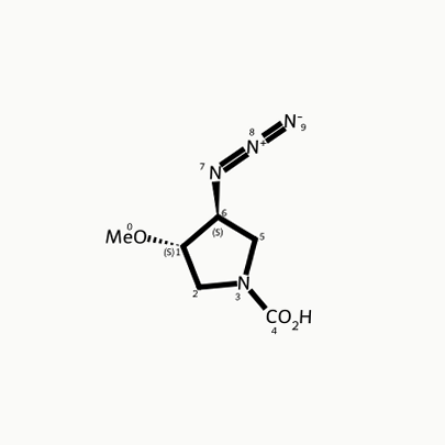 CO[C@H]1CN(C(=O)O)C[C@@H]1N=[N+]=[N-]